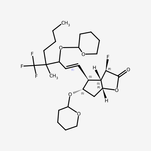 CCCCC(C)(C(/C=C/[C@H]1[C@H]2[C@@H](C[C@@H]1OC1CCCCO1)OC(=O)[C@@H]2F)OC1CCCCO1)C(F)(F)F